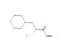 C=CC(=O)C(O)CC1CCCCC1